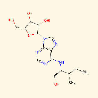 CC[C@H](C)[C@@H](CO)Nc1ncnc2c1ncn2[C@@H]1O[C@H](CO)C(O)[C@@H]1O